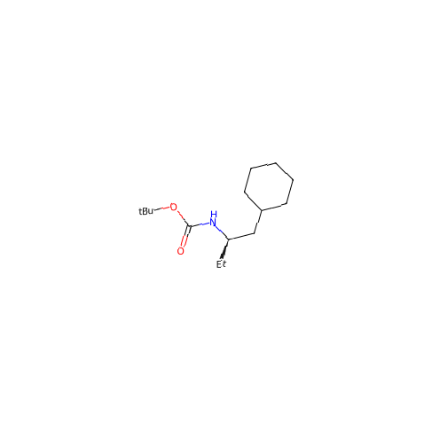 CC[C@H](CC1CCCCC1)NC(=O)OC(C)(C)C